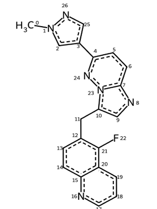 Cn1cc(-c2ccc3ncc(Cc4ccc5ncccc5c4F)n3n2)cn1